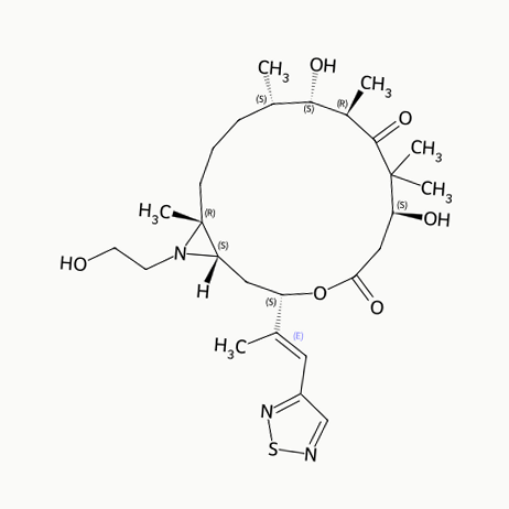 C/C(=C\c1cnsn1)[C@@H]1C[C@@H]2N(CCO)[C@]2(C)CCC[C@H](C)[C@H](O)[C@@H](C)C(=O)C(C)(C)[C@@H](O)CC(=O)O1